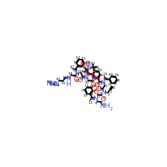 C#CCN(CC(=O)N(CC(N)=O)[C@@H](C)c1ccccc1)C(=O)CN(C(=O)CN(C(=O)CN(C(=O)CN(C(=O)CNCCCN=[N+]=[N-])[C@@H](C)c1ccccc1)[C@@H](C)c1ccccc1)C1CC(C)(C)N(O)C(C)(C)C1)[C@@H](C)c1ccccc1